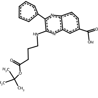 CC(C)(C)OC(=O)CCCNc1nc2cc(C(=O)O)ccc2nc1-c1ccccc1